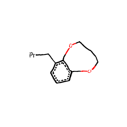 CC(C)Cc1cccc2c1OCCCO2